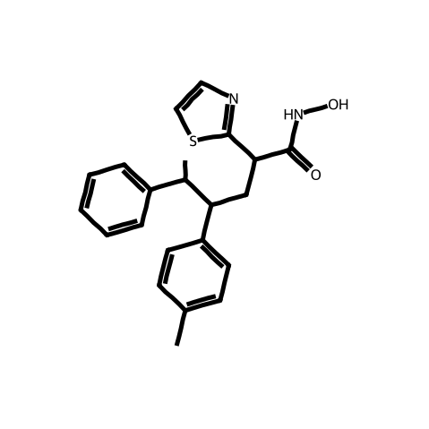 Cc1ccc(C(CC(C(=O)NO)c2nccs2)C(C)c2ccccc2)cc1